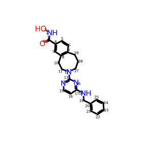 O=C(NO)c1ccc2c(c1)CCN(c1nccc(NCc3ccccc3)n1)CCC2